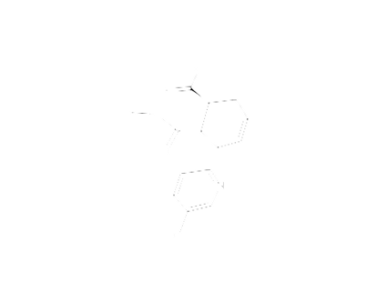 COC(=O)[C@@H]1[C@@H](C(=O)O)CC=C[C@@H]1c1ccc(Br)cn1